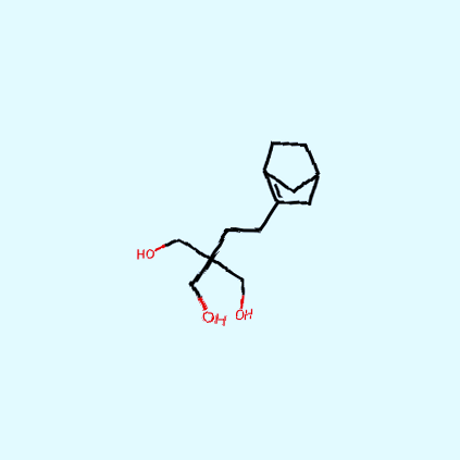 OCC(CO)(CO)CCC1=C2CCC(C2)C1